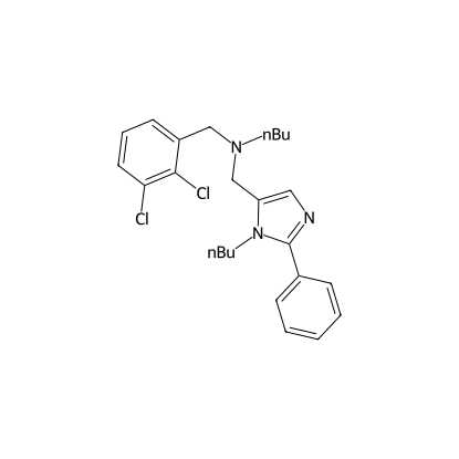 CCCCN(Cc1cccc(Cl)c1Cl)Cc1cnc(-c2ccccc2)n1CCCC